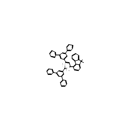 CC1(C)c2ccccc2-c2c(-c3cc(-c4cc(-c5ccccc5)cc(-c5ccccc5)c4)nc(-c4cc(-c5ccccc5)cc(-c5ccccc5)c4)n3)cccc21